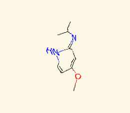 COc1cc[nH]/c(=N\C(C)C)c1